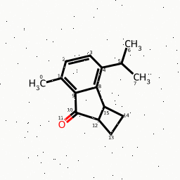 Cc1ccc(C(C)C)c2c1C(=O)C1CCC21